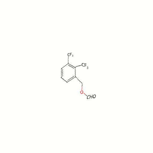 O=COCc1cccc(C(F)(F)F)c1C(F)(F)F